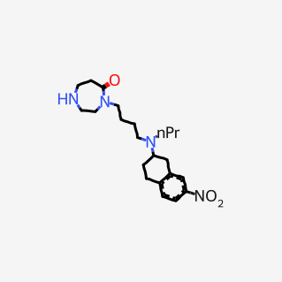 CCCN(CCCCN1CCNCCC1=O)C1CCc2ccc([N+](=O)[O-])cc2C1